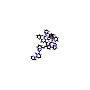 Cc1cccnc1[C@@H]1CCC[C@H](c2cn3c(CCc4ccc(C5=CC=CN6CC([C@H]7CCC[C@@H](c8ncccc8C)N7CCc7cccc(C8CC[C@@H](c9ncccc9C)N(CCc9cnccn9)[C@H]8c8cn9ccccc9n8)n7)N=C56)cn4)cccc3n2)N1C